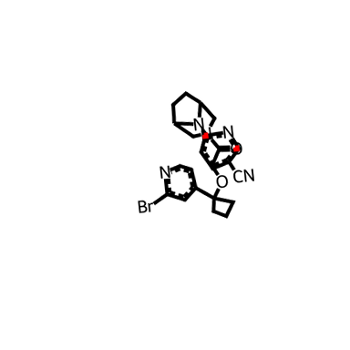 N#Cc1ccc(N2C3CCC2CN(C(=O)COC2(c4ccnc(Br)c4)CCC2)C3)nc1